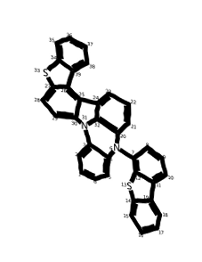 c1ccc2c(c1)N(c1cccc3c1sc1ccccc13)c1cccc3c4c5c(ccc4n-2c13)sc1ccccc15